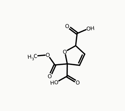 COC(=O)C1(C(=O)O)C=CC(C(=O)O)O1